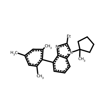 CCc1nc2c(-c3c(C)cc(C)cc3C)cccc2n1C1(C)CCCC1